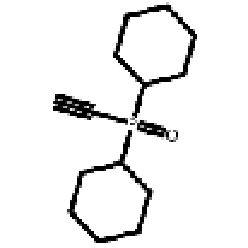 C#CP(=O)(C1CCCCC1)C1CCCCC1